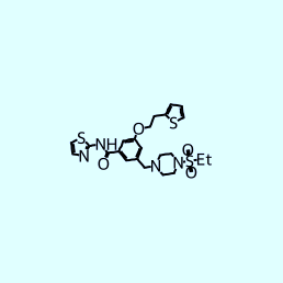 CCS(=O)(=O)N1CCN(Cc2cc(OCCc3cccs3)cc(C(=O)Nc3nccs3)c2)CC1